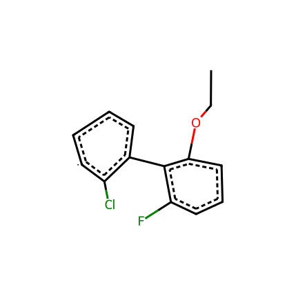 CCOc1cccc(F)c1-c1ccc[c]c1Cl